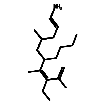 C=C(C)/C(CC)=C(/C)C(CCCC)CC(C)C/C=C/N